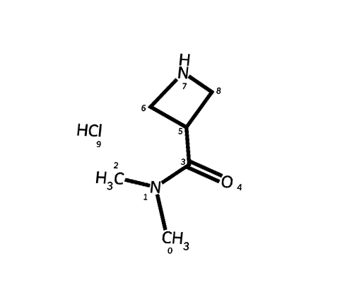 CN(C)C(=O)C1CNC1.Cl